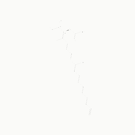 C=CCCCCCCCC(O)OCCOC(C)[C@H](NC(O)CCC)[C@@H](O)CO